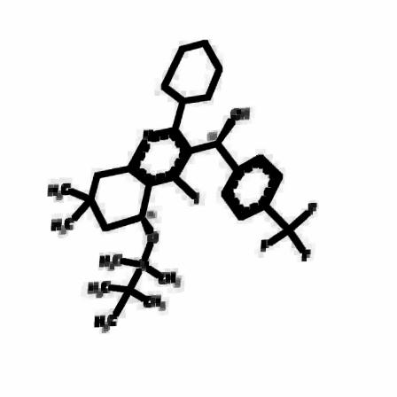 CC1(C)Cc2nc(C3CCCCC3)c([C@@H](O)c3ccc(C(F)(F)F)cc3)c(I)c2[C@@H](O[Si](C)(C)C(C)(C)C)C1